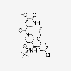 C=CCOc1cc(C)c(Cl)cc1[C@H](N[S@@+]([O-])C(C)(C)C)C1CCN(C(=O)c2c[nH]c(=O)c(OC)c2)CC1